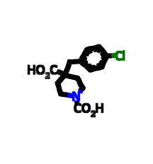 O=C(O)N1CCC(Cc2ccc(Cl)cc2)(C(=O)O)CC1